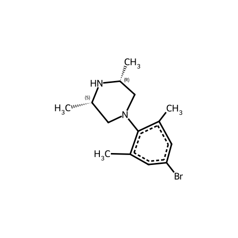 Cc1cc(Br)cc(C)c1N1C[C@@H](C)N[C@@H](C)C1